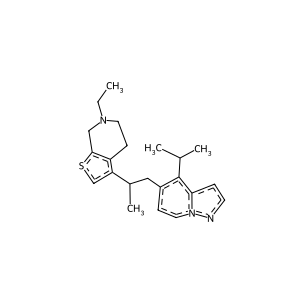 CCN1CCc2c(C(C)Cc3ccn4nccc4c3C(C)C)csc2C1